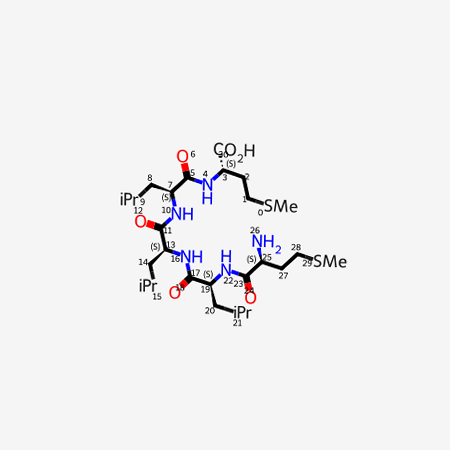 CSCC[C@H](NC(=O)[C@H](CC(C)C)NC(=O)[C@H](CC(C)C)NC(=O)[C@H](CC(C)C)NC(=O)[C@@H](N)CCSC)C(=O)O